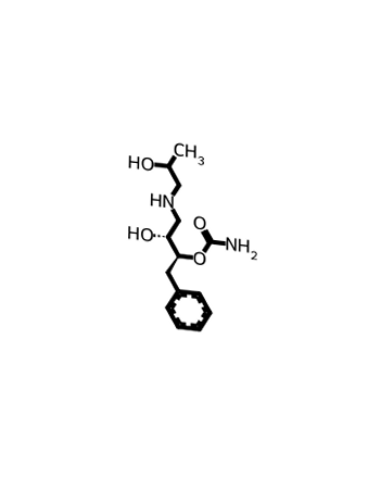 CC(O)CNC[C@@H](O)[C@H](Cc1ccccc1)OC(N)=O